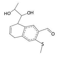 CSc1cc2c(cc1C=O)C(C(O)C(C)O)C=CC2